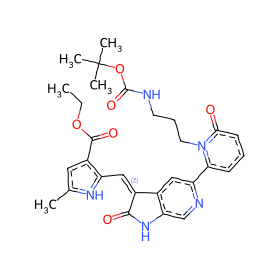 CCOC(=O)c1cc(C)[nH]c1/C=C1\C(=O)Nc2cnc(-c3cccc(=O)n3CCCNC(=O)OC(C)(C)C)cc21